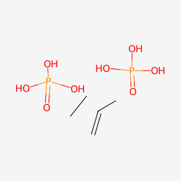 C=CC.CC.O=P(O)(O)O.O=P(O)(O)O